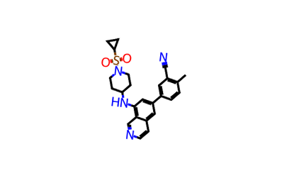 Cc1ccc(-c2cc(NC3CCN(S(=O)(=O)C4CC4)CC3)c3cnccc3c2)cc1C#N